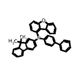 CC1(C)c2ccccc2-c2ccc(N(c3ccc(-c4ccccc4)cc3)c3cccc4oc5ccccc5c34)cc21